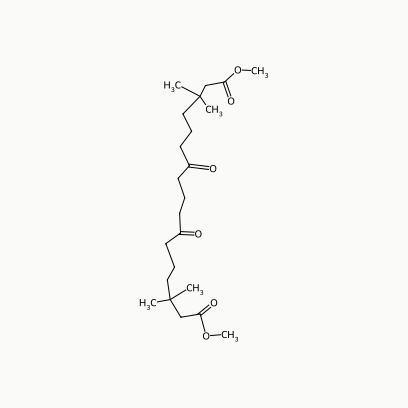 COC(=O)CC(C)(C)CCCC(=O)CCCC(=O)CCCC(C)(C)CC(=O)OC